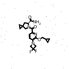 NC(=O)[C@@H]1CC2(CC2)CN1C(=O)c1ccc(N2CC(F)(F)C2)c(OCC2CC2)n1